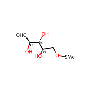 CSOC[C@@H](O)[C@@H](O)[C@@H](O)C=O